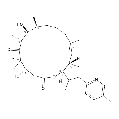 C/C1=C/[C@@H]2CC(c3ccc(C)cn3)C(C)[C@H]2OC(=O)C[C@H](O)C(C)(C)C(=O)[C@H](C)[C@@H](O)[C@@H](C)CCC1